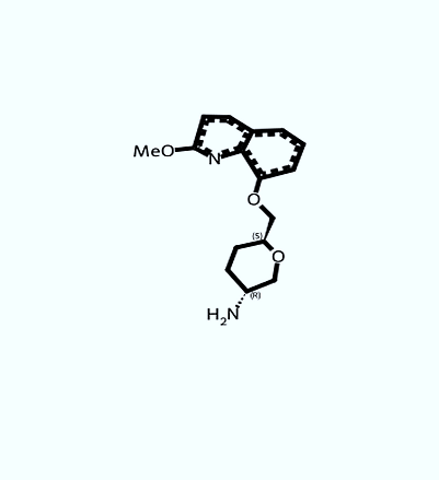 COc1ccc2cccc(OC[C@@H]3CC[C@@H](N)CO3)c2n1